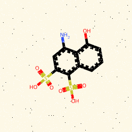 Nc1cc(S(=O)(=O)O)c(S(=O)(=O)O)c2cccc(O)c12